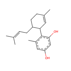 CC(C)=CCC1CCC(C)=CC1c1c(C)cc(O)cc1O